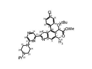 COC(=O)C(OC(C)(C)C)c1c(C)cc2nc(-c3cncc(N4CCN(C(C)C)CC4)n3)sc2c1-c1ccc(Cl)cc1